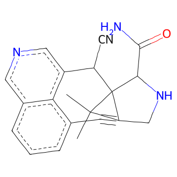 C#Cc1cccc2cncc(C(C#N)C34C(C(N)=O)NCC3C4(C)C)c12